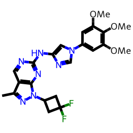 COc1cc(-n2cnc(Nc3ncc4c(C)nn(C5CC(F)(F)C5)c4n3)c2)cc(OC)c1OC